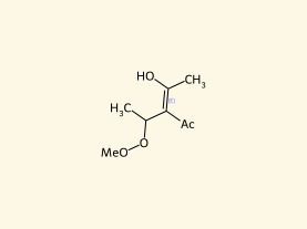 COOC(C)/C(C(C)=O)=C(/C)O